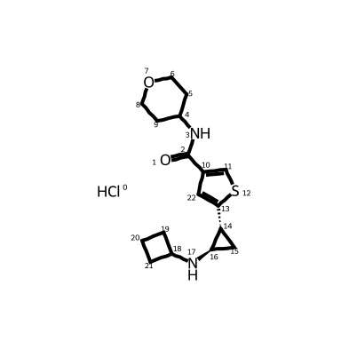 Cl.O=C(NC1CCOCC1)c1csc([C@@H]2C[C@H]2NC2CCC2)c1